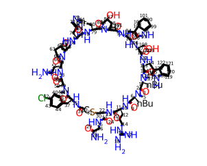 CCCC[C@H]1C(=O)N(C)[C@@H](CCCC)C(=O)N[C@@H](CCCNC(=N)N)C(=O)N[C@H](C(=O)NCC(N)=O)CSCC(=O)N[C@@H](Cc2ccc(Cl)cc2)C(=O)N(C)[C@@H](C)C(=O)N[C@@H](CC(N)=O)C(=O)N2CCC[C@H]2C(=O)N[C@@H](Cc2cnc[nH]2)C(=O)N[C@@H](CC(C)C)C(=O)N2C[C@H](O)C[C@H]2C(=O)N[C@@H](Cc2c[nH]c3ccccc23)C(=O)N[C@@H](CO)C(=O)N[C@@H](Cc2c[nH]c3ccccc23)C(=O)N1C